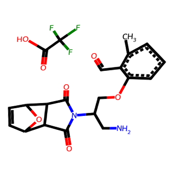 Cc1cccc(OCC(CN)N2C(=O)C3C4C=CC(O4)C3C2=O)c1C=O.O=C(O)C(F)(F)F